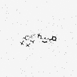 CC(C)C(OC(=O)C(C)(C)C)OP(=O)(OC(OC(=O)C(C)(C)C)C(C)C)OP(=O)(O)OC[C@H]1O[C@@H](n2ccc(=O)n(Cc3noc4ccccc34)c2=O)CC1(C)C